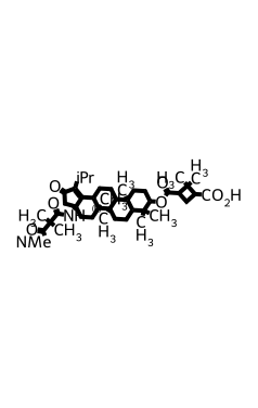 CNC(=O)C(C)(C)C(=O)NC12CC[C@]3(C)C(CCC4C5(C)CCC(OC(=O)C6CC(C(=O)O)C6(C)C)C(C)(C)C5CCC43C)C1=C(C(C)C)C(=O)C2